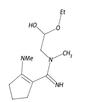 CCOC(O)CN(C)C(=N)C1=C(NC)CCC1